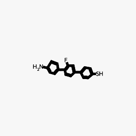 Nc1ccc(-c2ccc(-c3ccc(S)cc3)cc2F)cc1